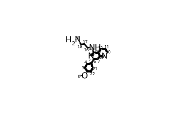 COc1ccc(-c2cc3ncccc3c(NCCCN)n2)cc1